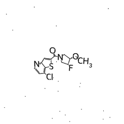 CO[C@@H]1CN(C(=O)c2cc3nccc(Cl)c3s2)CC1F